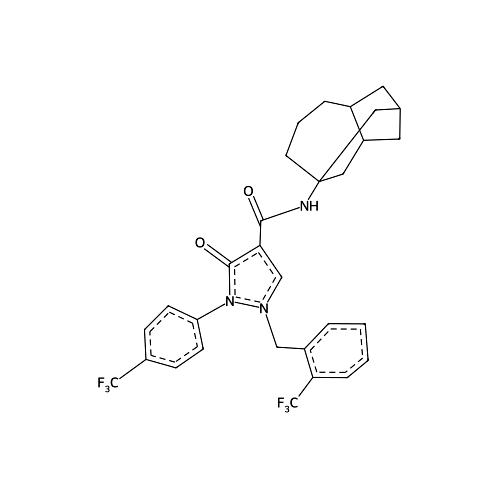 O=C(NC12CCCC3CC(CC3C1)C2)c1cn(Cc2ccccc2C(F)(F)F)n(-c2ccc(C(F)(F)F)cc2)c1=O